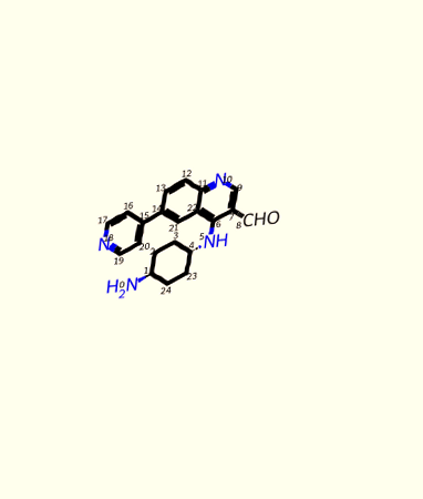 N[C@H]1CC[C@H](Nc2c(C=O)cnc3ccc(-c4ccncc4)cc23)CC1